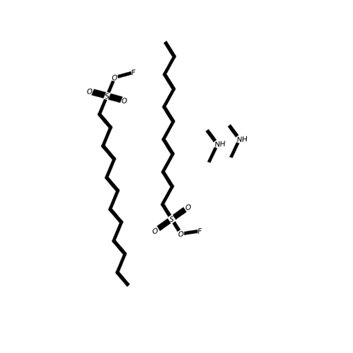 CCCCCCCCCCCCS(=O)(=O)OF.CCCCCCCCCCCS(=O)(=O)OF.CNC.CNC